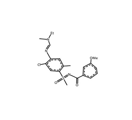 CCN(C)C=Nc1cc(C)c(S(C)(=O)=NC(=O)c2cccc(OC)c2)cc1Cl